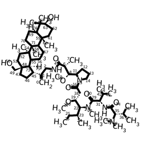 C=C(CNC(=O)[C@H](C)[C@@H](OC)C1CCCN1C(=O)C[C@@H](OC)[C@H]([C@@H](C)CC)N(C)C(=O)[C@@H](NC(=O)[C@H](C(C)C)N(C)C)C(C)C)[C@@H]1CC[C@]2(CO)CC[C@]3(C)C(CCC4[C@@]5(C)CC[C@H](O)C(C)(C)[C@@H]5CC[C@]43C)[C@@H]12